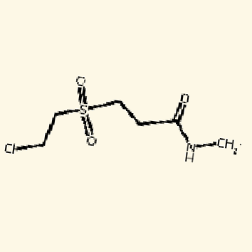 [CH2]NC(=O)CCS(=O)(=O)CCCl